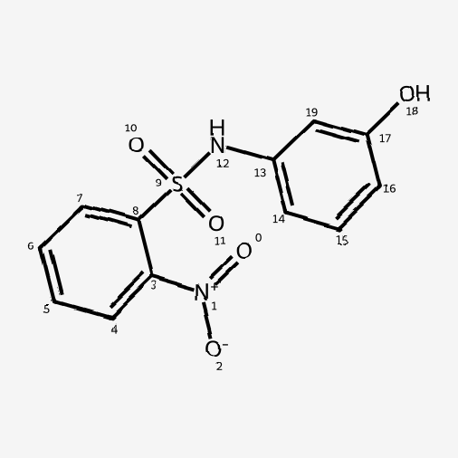 O=[N+]([O-])c1ccccc1S(=O)(=O)Nc1cccc(O)c1